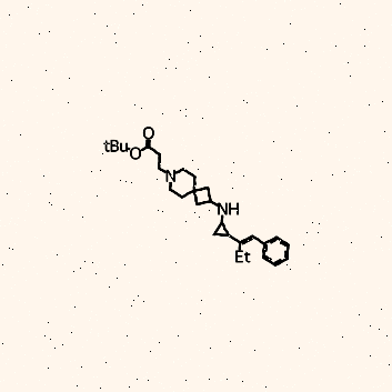 CCC(=Cc1ccccc1)C1CC1NC1CC2(CCN(CCC(=O)OC(C)(C)C)CC2)C1